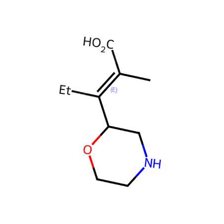 CC/C(=C(/C)C(=O)O)C1CNCCO1